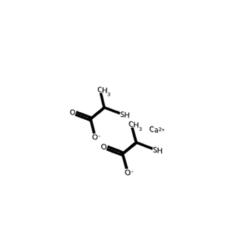 CC(S)C(=O)[O-].CC(S)C(=O)[O-].[Ca+2]